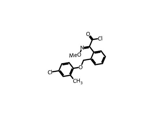 CO/N=C(/C(=O)Cl)c1ccccc1COc1ccc(Cl)cc1C